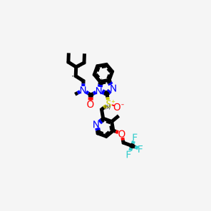 CC[C]([CH]CN(C)C(=O)n1c([S@+]([O-])Cc2nccc(OCC(F)(F)F)c2C)nc2ccccc21)CC